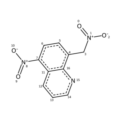 O=[N+]([O-])Cc1ccc([N+](=O)[O-])c2cccnc12